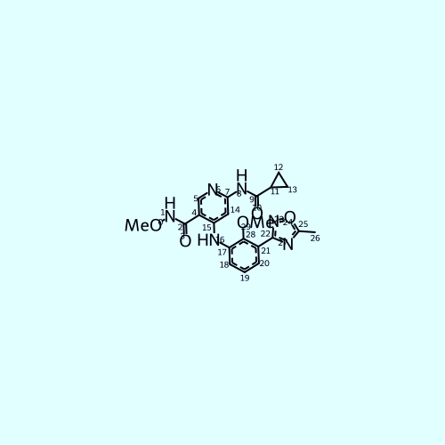 CONC(=O)c1cnc(NC(=O)C2CC2)cc1Nc1cccc(-c2noc(C)n2)c1OC